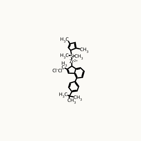 CC1=CC([Si](C)(C)[Zr+2][CH]2C(C)=Cc3c(-c4ccc(C(C)(C)C)cc4)cccc32)C(C)=C1.[Cl-].[Cl-]